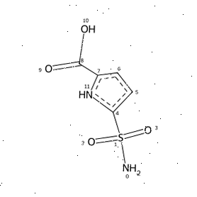 NS(=O)(=O)c1ccc(C(=O)O)[nH]1